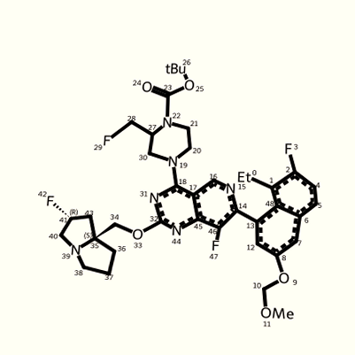 CCc1c(F)ccc2cc(OCOC)cc(-c3ncc4c(N5CCN(C(=O)OC(C)(C)C)C(CF)C5)nc(OC[C@@]56CCCN5C[C@H](F)C6)nc4c3F)c12